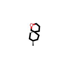 C[C@H]1CC[C@]2(CCCOC2)CC1